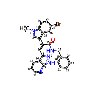 Cn1cc(C(=Cc2n[nH]c3ncccc23)C(=O)NCc2ccccc2)c2cc(Br)ccc21